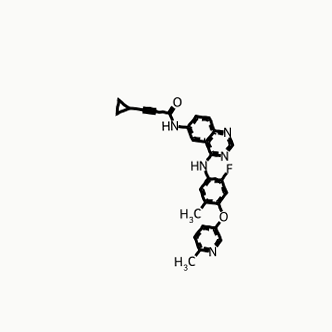 Cc1ccc(Oc2cc(F)c(Nc3ncnc4ccc(NC(=O)C#CC5CC5)cc34)cc2C)cn1